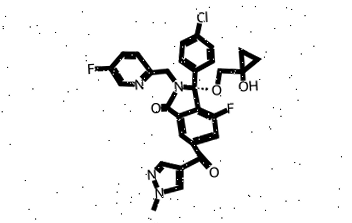 Cn1cc(C(=O)c2cc(F)c3c(c2)C(=O)N(Cc2ccc(F)cn2)[C@@]3(OCC2(O)CC2)c2ccc(Cl)cc2)cn1